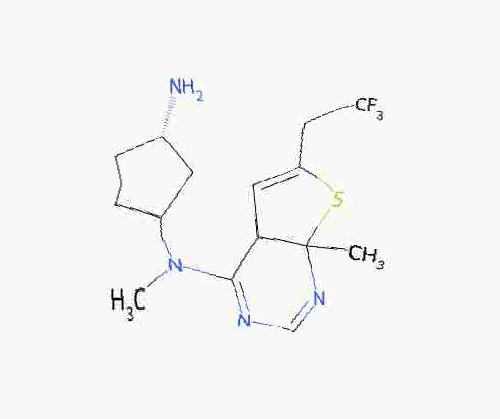 CN(C1=NC=NC2(C)SC(CC(F)(F)F)=CC12)C1CC[C@H](N)C1